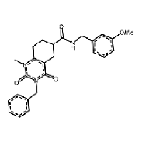 COc1cccc(CNC(=O)C2CCc3c(c(=O)n(Cc4ccccc4)c(=O)n3C)C2)c1